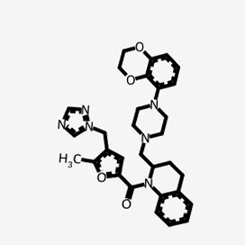 Cc1oc(C(=O)N2c3ccccc3CCC2CN2CCN(c3cccc4c3OCCO4)CC2)cc1Cn1cncn1